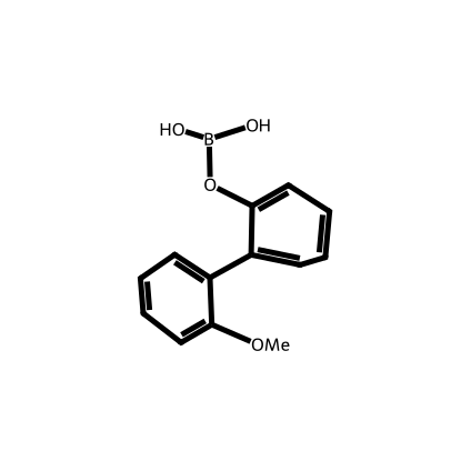 COc1ccccc1-c1ccccc1OB(O)O